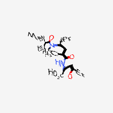 CCC(=O)CC(NC(=O)/C(C)=C/[C@H](C(C)C)N(C)C(=O)[C@@H](NC)C(C)(C)C)C(=O)O